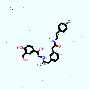 C[C@H](Cc1cccc(CC(=O)NCCc2ccc(Cl)cc2)c1)NC[C@H](O)c1ccc(O)c(CO)c1